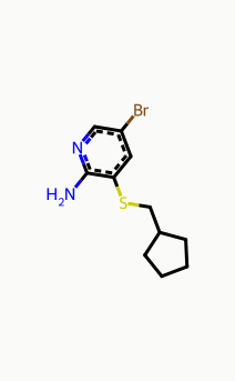 Nc1ncc(Br)cc1SCC1CCCC1